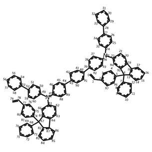 C=Cc1ccc(C2(c3ccccc3)c3ccccc3-c3ccc(N(c4ccc(-c5ccccc5)cc4)c4ccc(-c5ccc(-c6ccc(N(c7ccc(-c8ccccc8)cc7)c7ccc8c(c7)C(c7ccccc7)(c7ccc(C=C)cc7)c7ccccc7-8)cc6)cc5)cc4)cc32)cc1